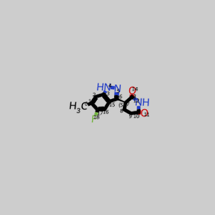 Cc1cc2[nH]nc([C@@H]3CCC(=O)NC3=O)c2cc1F